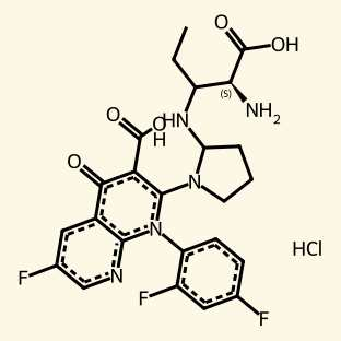 CCC(NC1CCCN1c1c(C(=O)O)c(=O)c2cc(F)cnc2n1-c1ccc(F)cc1F)[C@H](N)C(=O)O.Cl